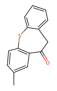 Cc1ccc2c(c1)C(=O)Cc1ccccc1S2